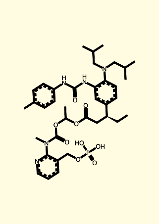 CC[C@@H](CC(=O)OC(C)OC(=O)N(C)c1ncccc1COP(=O)(O)O)c1ccc(N(CC(C)C)CC(C)C)c(NC(=O)Nc2ccc(C)cc2)c1